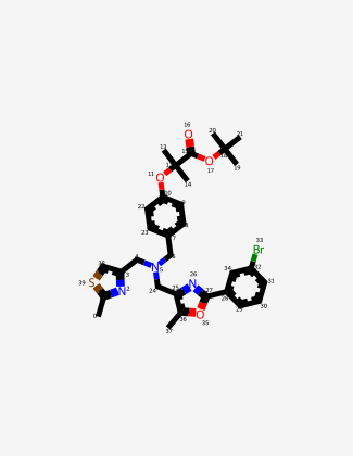 Cc1nc(CN(Cc2ccc(OC(C)(C)C(=O)OC(C)(C)C)cc2)Cc2nc(-c3cccc(Br)c3)oc2C)cs1